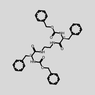 O=C(N[C@@H](Cc1ccccc1)C(=O)NCCNC(=O)[C@H](Cc1ccccc1)NC(=O)OCc1ccccc1)OCc1ccccc1